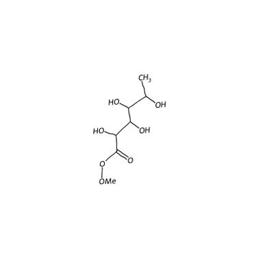 COOC(=O)C(O)C(O)C(O)C(C)O